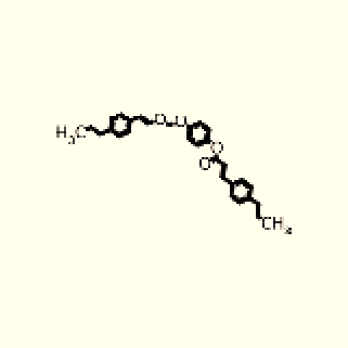 CCCc1ccc(C=COCOc2ccc(OC(=O)C=Cc3ccc(CCC)cc3)cc2)cc1